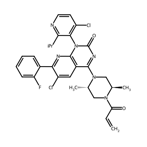 C=CC(=O)N1C[C@H](C)N(c2nc(=O)n(-c3c(Cl)ccnc3C(C)C)c3nc(-c4ccccc4F)c(Cl)cc23)C[C@H]1C